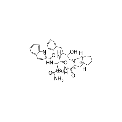 CC(C)(C)NC(=O)[C@@H]1C[C@@H]2CCCC[C@@H]2CN1CC(O)C(Cc1ccccc1)NC(=O)C(CC(N)=O)NC(=O)c1ccc2ccccc2n1